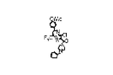 COc1ccc(-c2cc(C(F)(F)F)n3nc(C(=O)N4CCN(Cc5ccccc5)CC4)c(Cl)c3n2)cc1